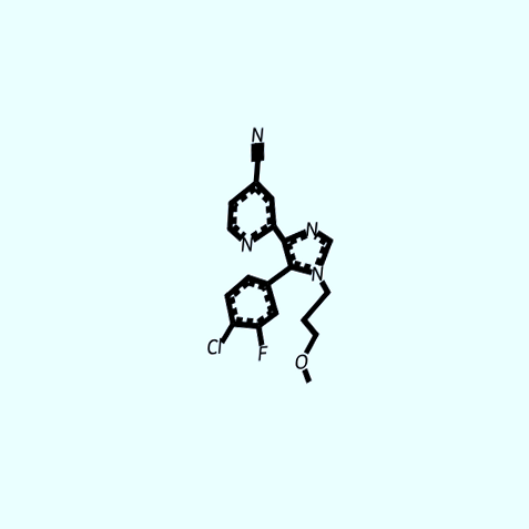 COCCCn1cnc(-c2cc(C#N)ccn2)c1-c1ccc(Cl)c(F)c1